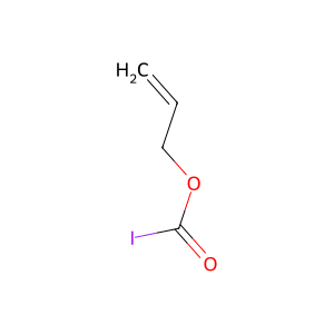 C=CCOC(=O)I